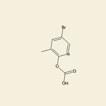 Cc1cc(Br)cnc1OC(=O)O